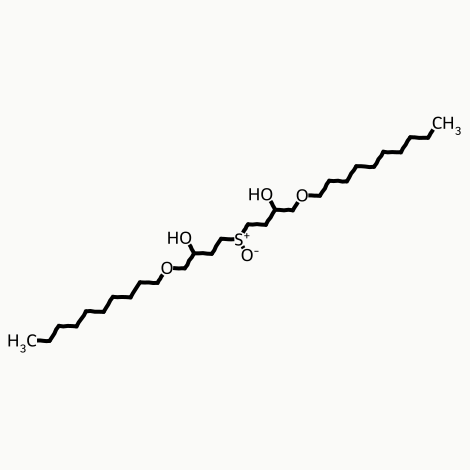 CCCCCCCCCCOCC(O)CC[S+]([O-])CCC(O)COCCCCCCCCCC